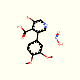 COc1ccc(-c2cncc(Br)c2C(=O)O)cc1OC.O=NO